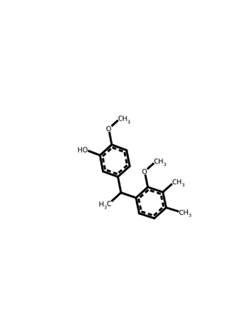 COc1ccc(C(C)c2ccc(C)c(C)c2OC)cc1O